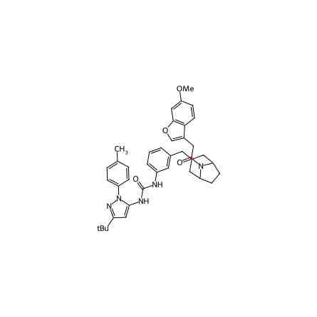 COc1ccc2c(CC(=O)N3C4CCC3CC(Cc3cccc(NC(=O)Nc5cc(C(C)(C)C)nn5-c5ccc(C)cc5)c3)C4)coc2c1